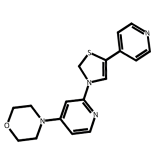 C1=C(c2ccncc2)SCN1c1cc(N2CCOCC2)ccn1